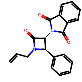 C=CCN1C(=O)[C@H](N2C(=O)c3ccccc3C2=O)[C@H]1c1ccccc1